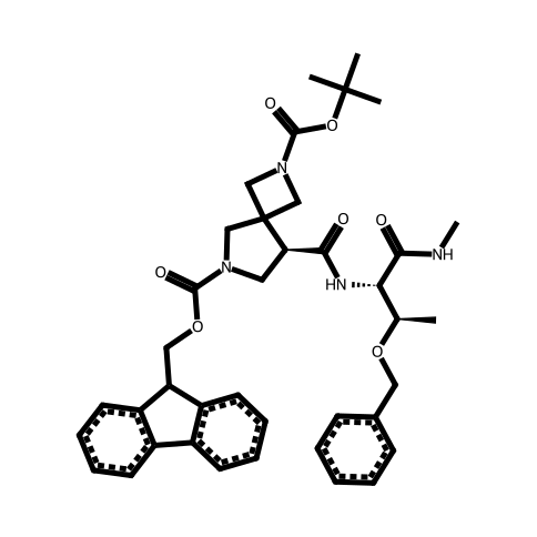 CNC(=O)[C@@H](NC(=O)[C@H]1CN(C(=O)OCC2c3ccccc3-c3ccccc32)CC12CN(C(=O)OC(C)(C)C)C2)[C@@H](C)OCc1ccccc1